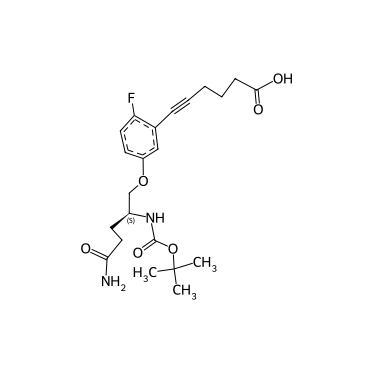 CC(C)(C)OC(=O)N[C@@H](CCC(N)=O)COc1ccc(F)c(C#CCCCC(=O)O)c1